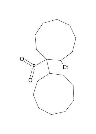 CCC1CCCCCCCC1(C1CCCCCCCC1)P(=O)=O